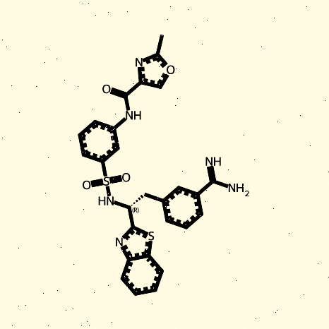 Cc1nc(C(=O)Nc2cccc(S(=O)(=O)N[C@H](Cc3cccc(C(=N)N)c3)c3nc4ccccc4s3)c2)co1